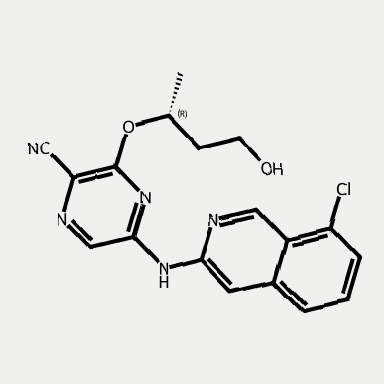 C[C@H](CCO)Oc1nc(Nc2cc3cccc(Cl)c3cn2)cnc1C#N